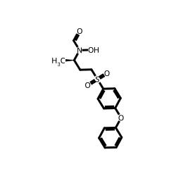 C[C@H](CCS(=O)(=O)c1ccc(Oc2ccccc2)cc1)N(O)C=O